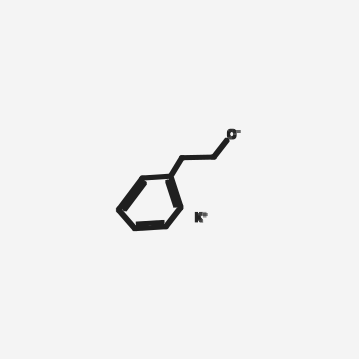 [K+].[O-]CCc1ccccc1